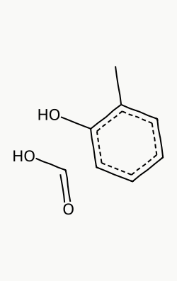 Cc1ccccc1O.O=CO